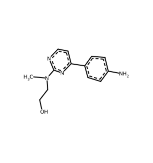 CN(CCO)c1nccc(-c2ccc(N)cc2)n1